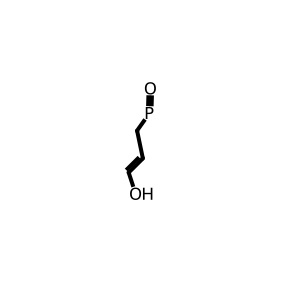 O=PCC=CO